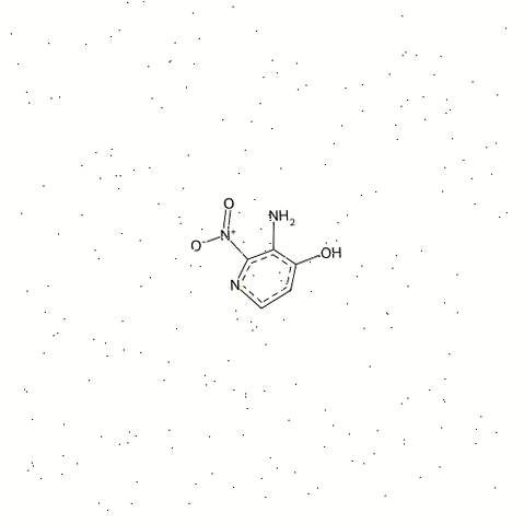 Nc1c(O)ccnc1[N+](=O)[O-]